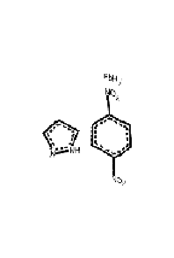 O=[N+]([O-])c1ccc([N+](=O)[O-])cc1.[PbH2].c1cn[nH]c1